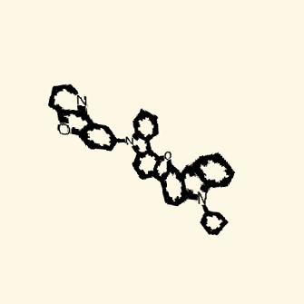 c1ccc(-n2c3ccccc3c3c4oc5c(ccc6c5c5ccccc5n6-c5ccc6oc7cccnc7c6c5)c4ccc32)cc1